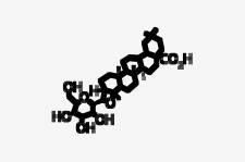 CC1(C)CC[C@]2(C(=O)O)CC[C@]3(C)C(=CCC4[C@@]5(C)CC[C@H]6C([C@@H]7OC(CO)[C@H](O)C(O)C7O)O[C@@]6(C)C5CC[C@]43C)C2C1